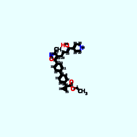 CCOC(=O)C1(c2ccc(-c3ccc(-c4onc(C)c4CC/C=C(\O)c4ccncc4)cc3)cc2)CC1